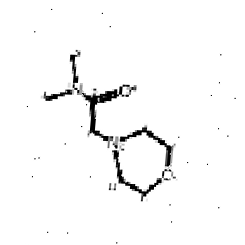 CN(C)C(=O)CN1CCOCC1